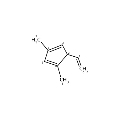 C=CC1C=C(C)C=C1C